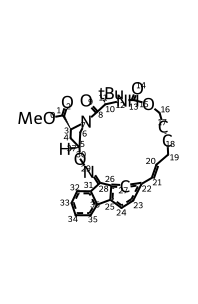 COC(=O)[C@@H]1C[C@@H]2CN1C(=O)[C@H](C(C)(C)C)NC(=O)OCCCC/C=C/c1ccc3c(c1)C(=NO2)c1ccccc1-3